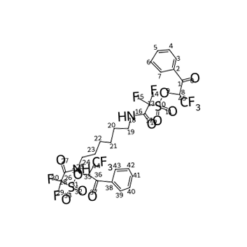 O=C(c1ccccc1)C(OS(=O)(=O)C(F)(F)C(=O)NCCCCCCNC(=O)C(F)(F)S(=O)(=O)OC(C(=O)c1ccccc1)C(F)(F)F)C(F)(F)F